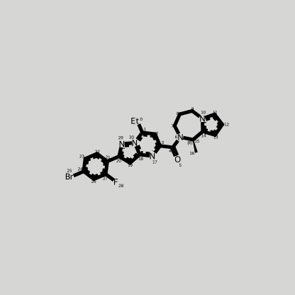 CCc1cc(C(=O)N2CCCn3cccc3[C@H]2C)nc2cc(-c3ccc(Br)cc3F)nn12